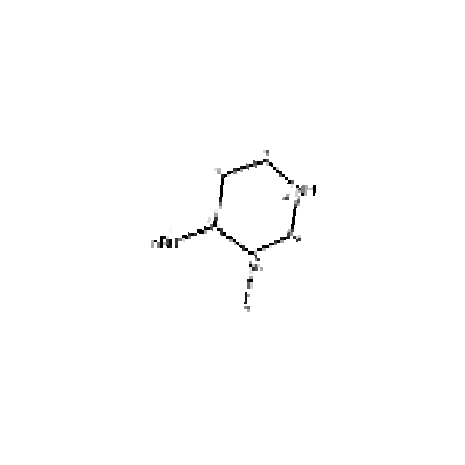 CCCCC1CCNC[C@@H]1F